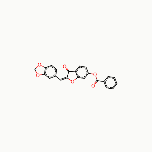 O=C(Oc1ccc2c(c1)OC(=Cc1ccc3c(c1)OCO3)C2=O)c1ccccc1